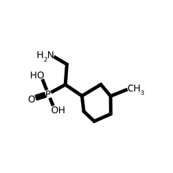 CC1CCCC(C(CN)P(=O)(O)O)C1